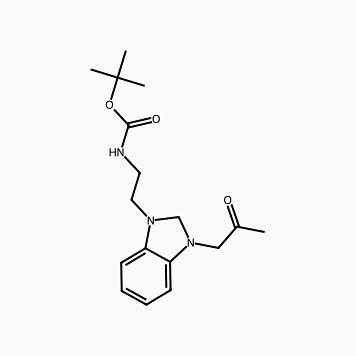 CC(=O)CN1CN(CCNC(=O)OC(C)(C)C)c2ccccc21